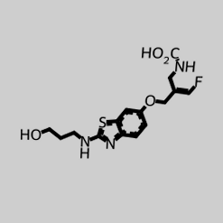 O=C(O)NC/C(=C\F)COc1ccc2nc(NCCCO)sc2c1